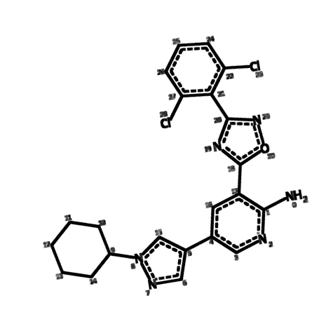 Nc1ncc(-c2cnn(C3CCCCC3)c2)cc1-c1nc(-c2c(Cl)cccc2Cl)no1